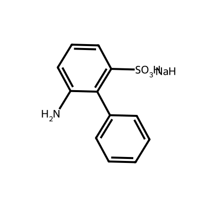 Nc1cccc(S(=O)(=O)O)c1-c1ccccc1.[NaH]